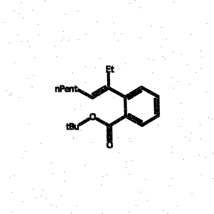 CCCCCC=C(CC)c1ccccc1C(=O)OC(C)(C)C